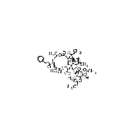 CCC(=O)O[C@@H]1CC(=O)O[C@H](C)CCN(C(=O)CCc2ccccc2)C[C@H](O)[C@H](C)C[C@H](CC=O)[C@H]([C@@H]2O[C@H](C)[C@@H](O[C@@H]3C[C@@](C)(OC(C)=O)[C@@H](OC(=O)CC)[C@H](C)O3)[C@H](N(C)C)[C@H]2O)[C@@H]1OC